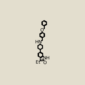 CCn1c(=O)[nH]c2cc(C3CCC(NCc4ccc(OCc5ccccc5)cc4)CC3)ccc21